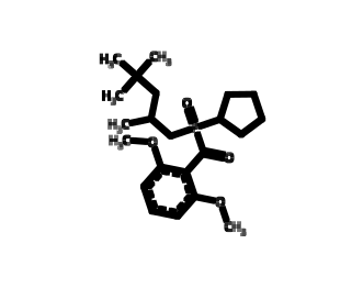 COc1cccc(OC)c1C(=O)P(=O)(CC(C)CC(C)(C)C)C1CCCC1